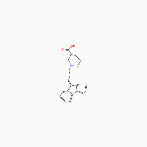 O=C(O)C1CCCN(CCC=C2c3ccccc3-c3ccccc32)C1